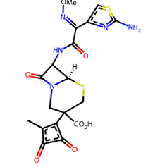 CON=C(C(=O)NC1C(=O)N2CC(C(=O)O)(c3c(C)c(=O)c3=O)CS[C@H]12)c1csc(N)n1